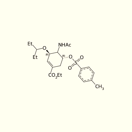 CCOC(=O)C1=C[C@@H](OC(CC)CC)C(NC(C)=O)[C@H](OS(=O)(=O)c2ccc(C)cc2)C1